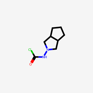 O=C(Cl)NN1CC2CCCC2C1